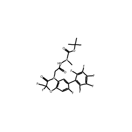 CN(NC(=O)CN1C(=O)C(F)(F)Oc2cc(F)c(-c3c(F)c(F)c(F)c(F)c3F)cc21)C(=O)OC(C)(C)C